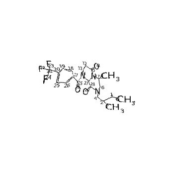 CCC(C)CN1CC(C)N2C(=O)CCN(C(=O)c3ccc(C(F)(F)F)cc3)C2C1=O